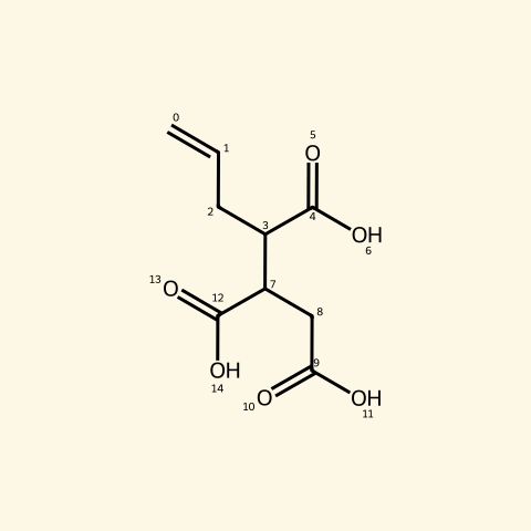 C=CCC(C(=O)O)C(CC(=O)O)C(=O)O